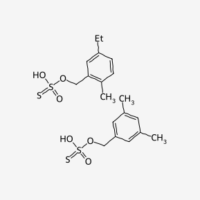 CCc1ccc(C)c(COS(=O)(O)=S)c1.Cc1cc(C)cc(COS(=O)(O)=S)c1